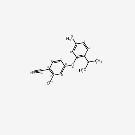 Cc1ccc(C(C)C)c(Oc2ccc(C#N)c(Cl)c2)c1